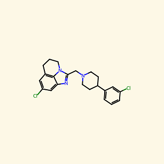 Clc1cccc(C2CCN(Cc3nc4cc(Cl)cc5c4n3CCC5)CC2)c1